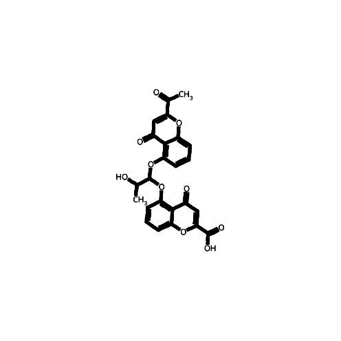 CC(=O)c1cc(=O)c2c(OC(Oc3cccc4oc(C(=O)O)cc(=O)c34)C(C)O)cccc2o1